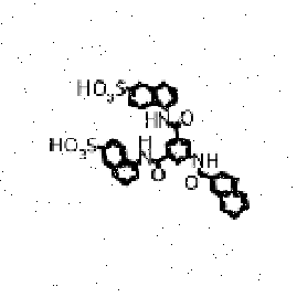 O=C(Nc1cc(C(=O)Nc2cccc3cc(S(=O)(=O)O)ccc23)cc(C(=O)Nc2cccc3cc(S(=O)(=O)O)ccc23)c1)c1ccc2ccccc2c1